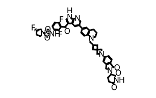 O=C1CCC(N2Cc3cc(N4CC5(CC(CN6CCCc7cc(-c8cnc9[nH]cc(C(=O)c%10c(F)ccc(NS(=O)(=O)N%11CC[C@@H](F)C%11)c%10F)c9c8)ccc76)C5)C4)ccc3C2=O)C(=O)N1